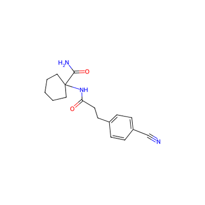 N#Cc1ccc(CCC(=O)NC2(C(N)=O)CCCCC2)cc1